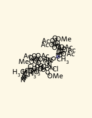 COC(=O)C1O[C@@H](OC[C@H]2O[C@@H](O/N=C(\C)c3ccc4[nH]c(C(=O)N5C[C@@H](CCl)c6c5cc(OS(=O)(=O)Oc5cc(C(=O)N(C)CC(C)(C)COCC(C)(C)CN=[N+]=[N-])ccc5O[C@@H]5O[C@H](C(=O)OC)[C@@H](OC(C)=O)[C@H](OC(C)=O)[C@H]5OC(C)=O)c5ccc(OC)cc65)cc4c3)[C@H](OC(C)=O)[C@@H](OC(C)=O)[C@H]2OC(C)=O)[C@H](OC(C)=O)[C@@H](OC(C)=O)[C@@H]1OC(C)=O